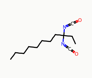 CCCCCCCCC(CC)(N=C=O)N=C=O